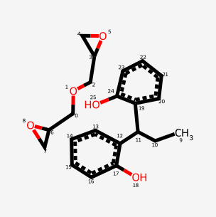 C(OCC1CO1)C1CO1.CCC(c1ccccc1O)c1ccccc1O